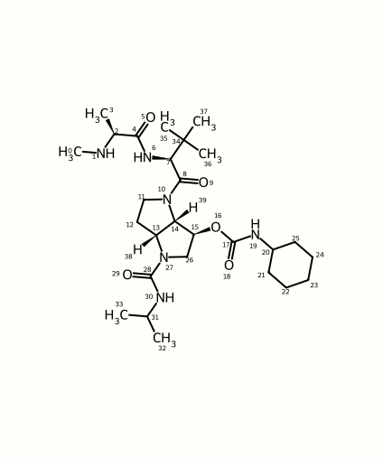 CN[C@@H](C)C(=O)N[C@H](C(=O)N1CC[C@@H]2[C@H]1[C@@H](OC(=O)NC1CCCCC1)CN2C(=O)NC(C)C)C(C)(C)C